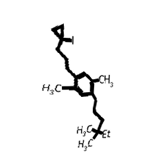 CCC(C)(C)CCCc1cc(C)c(CCCC2(I)CC2)cc1C